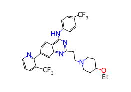 CCOC1CCN(CCc2nc(Nc3ccc(C(F)(F)F)cc3)c3ccc(-c4ncccc4C(F)(F)F)cc3n2)CC1